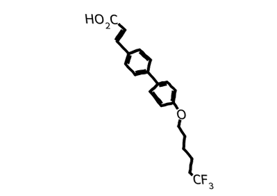 O=C(O)/C=C/c1ccc(-c2ccc(OCCCCCC(F)(F)F)cc2)cc1